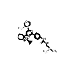 C[C@H]1COCCN1c1cc(C2(S(=O)(=O)C3CC3)CCOCC2)nc(-c2ccc(NC(=O)NCCN(C)C)cc2)n1